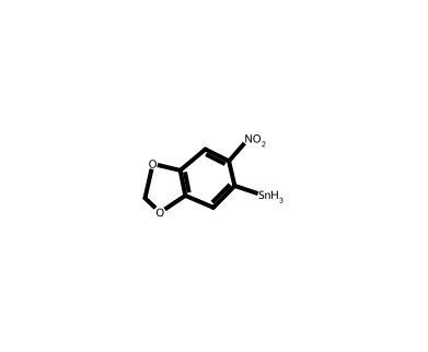 O=[N+]([O-])c1cc2c(c[c]1[SnH3])OCO2